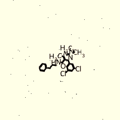 Cc1nc(N(C)C)nc(-c2cc(Cl)cc(Cl)c2)c1C(=O)NCCCc1ccccc1